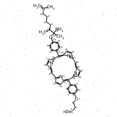 CCCCCCCCCCCCOc1ccc(C2=C3C=CC(=N3)C=C3C=CC(=N3)C(c3ccc(OC(C)(N)C(C)CCCCN(C)C)cc3)=C3C=CC(=N3)C=C3C=CC2=N3)cc1